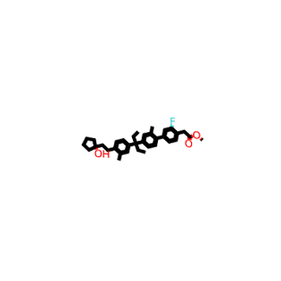 CCC(CC)(c1ccc(CCC2(O)CCCC2)c(C)c1)c1ccc(-c2ccc(CC(=O)OC)c(F)c2)c(C)c1